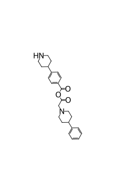 O=C(CN1CCC(c2ccccc2)CC1)OC(=O)c1ccc(C2CCNCC2)cc1